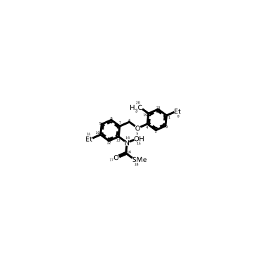 CCc1ccc(OCc2ccc(CC)cc2N(O)C(=O)SC)c(C)c1